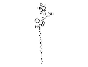 CCCCCCCCCCCCCCCCCCNC(=O)c1ccccc1C(=O)OC[C@@H]1CNC[C@H](n2cc(C)c(=O)[nH]c2=O)O1